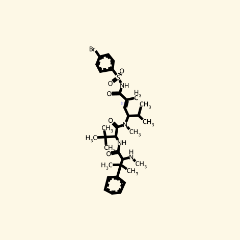 CNC(C(=O)NC(C(=O)N(C)C(/C=C(\C)C(=O)NS(=O)(=O)c1ccc(Br)cc1)C(C)C)C(C)(C)C)C(C)(C)c1ccccc1